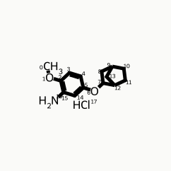 COc1ccc(OC2CC3CCC2C3)cc1N.Cl